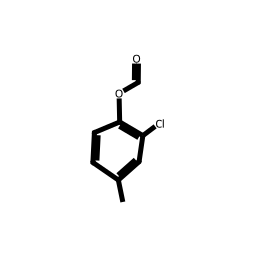 Cc1ccc(OC=O)c(Cl)c1